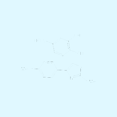 COc1ccc(-c2csc(SC)n2)cc1.Cc1ccc(S(=O)(=O)O)cc1C